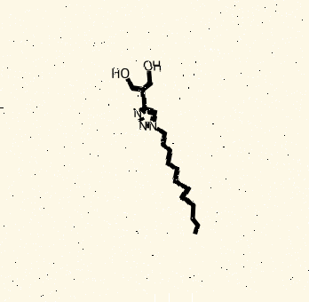 CCCCCCCCCCCCn1cc(C(CO)CO)nn1